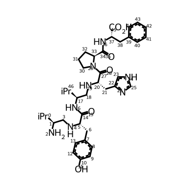 CC(C)[C@H](N)CN[C@@H](Cc1ccc(O)cc1)C(=O)N[C@H](CN[C@@H](Cc1c[nH]cn1)C(=O)N1CCC[C@H]1C(=O)N[C@@H](Cc1ccccc1)C(=O)O)C(C)C